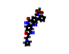 CN(c1ccccc1-c1ccc2c(c1)Nc1cc(NC(=O)CCN3CCCC3)ccc1NC2=O)S(C)(=O)=O